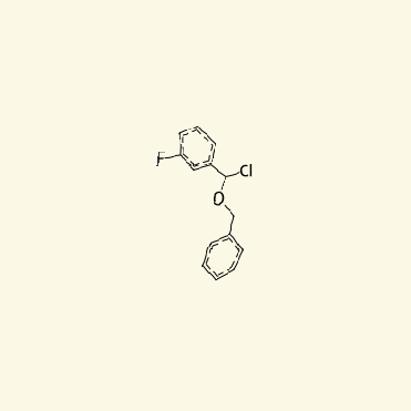 Fc1cccc(C(Cl)OCc2ccccc2)c1